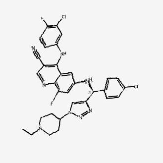 CCN1CCC(n2cc([C@@H](Nc3cc(F)c4ncc(C#N)c(Nc5ccc(F)c(Cl)c5)c4c3)c3ccc(Cl)cc3)nn2)CC1